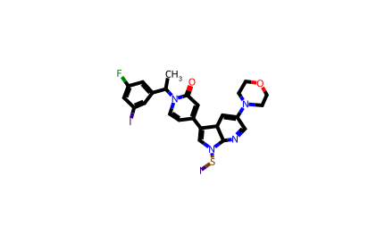 CC(c1cc(F)cc(I)c1)n1ccc(C2=CN(SI)C3N=CC(N4CCOCC4)=CC23)cc1=O